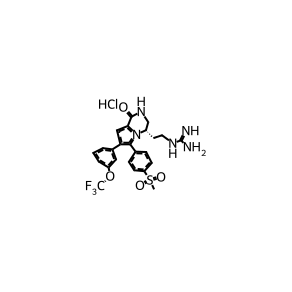 CS(=O)(=O)c1ccc(-c2c(-c3cccc(OC(F)(F)F)c3)cc3n2[C@@H](CCNC(=N)N)CNC3=O)cc1.Cl